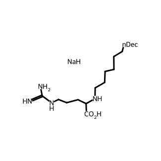 CCCCCCCCCCCCCCCCNC(CCCNC(=N)N)C(=O)O.[NaH]